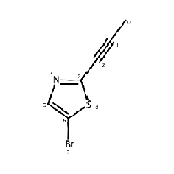 CC#Cc1ncc(Br)s1